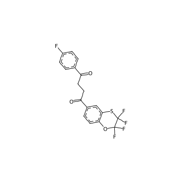 O=C(CCC(=O)c1ccc2c(c1)SC(F)(F)C(F)(F)O2)c1ccc(F)cc1